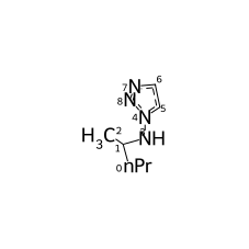 [CH2]CCC(C)Nn1ccnn1